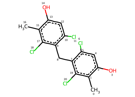 Cc1c(O)cc(Cl)c(Cc2c(Cl)cc(O)c(C)c2Cl)c1Cl